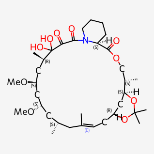 CO[C@@H]1C[C@@H](OC)C[C@@H](C)C/C(C)=C/C[C@@H]2C[C@H](OC(C)(C)O2)[C@@H](C)COC(=O)[C@@H]2CCCCN2C(=O)C(=O)C(O)(O)[C@H](C)C1